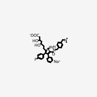 CC(C)n1c(CCC(O)CC(O)CC(=O)[O-])c(-c2ccc(F)cc2)c(-c2ccccc2)c1C(=O)NCc1ccc(CN(C)C)cc1.[Na+]